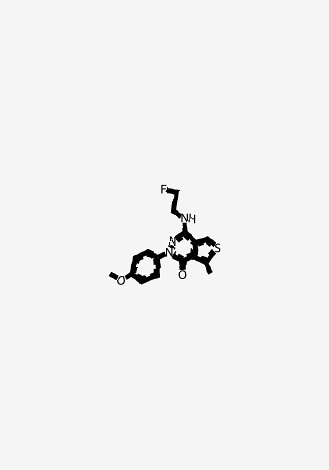 COc1ccc(-n2nc(NCCF)c3csc(C)c3c2=O)cc1